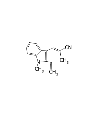 C=Cc1c(/C=C(\C)C#N)c2ccccc2n1C